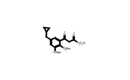 COc1cc(CC2CC2)cc(C(=O)CC(=O)C(=O)O)c1OC